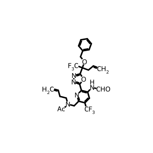 C=CCCN(Cc1nc(-c2nnc(C(CC=C)(OCc3ccccc3)C(F)(F)F)o2)c(NC=O)cc1C(F)(F)F)C(C)=O